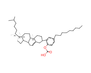 CCCCCCCCCc1ccc(OC(=O)O)c(C2CC[C@@]3(C)C(=CCC4C3CC[C@@]3(C)C4CC[C@@H]3[C@H](C)CCCC(C)C)C2)c1